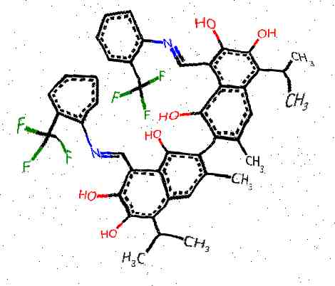 Cc1cc2c(C(C)C)c(O)c(O)c(/C=N/c3ccccc3C(F)(F)F)c2c(O)c1-c1c(C)cc2c(C(C)C)c(O)c(O)c(/C=N/c3ccccc3C(F)(F)F)c2c1O